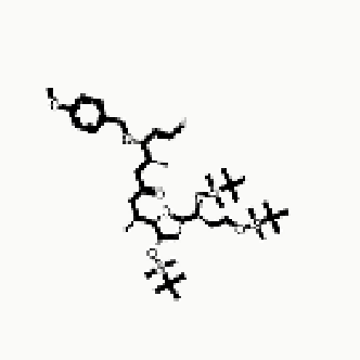 COc1ccc(CO[C@H](/C=C/I)[C@@H](C)CC(=O)C[C@H](C)[C@@H]2O[C@H]([C@H](CCO[Si](C)(C)C(C)(C)C)O[Si](C)(C)C(C)(C)C)C[C@@H]2O[Si](C)(C)C(C)(C)C)cc1